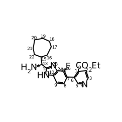 CCOC(=O)c1ccncc1-c1ccc2[nH]c(C(N)C3CCCCCCC3)nc2c1F